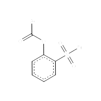 CCS(=O)(=O)c1ccccc1OC(=O)C(C)=O